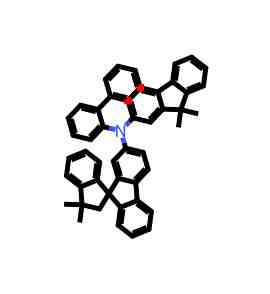 CC1(C)CC2(c3ccccc3-c3ccc(N(c4ccc5c(c4)C(C)(C)c4ccccc4-5)c4ccccc4-c4ccccc4)cc32)c2ccccc21